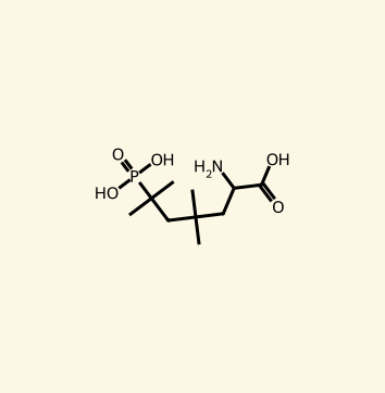 CC(C)(CC(N)C(=O)O)CC(C)(C)P(=O)(O)O